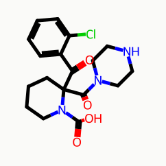 O=C(O)N1CCCCC1(C(=O)c1ccccc1Cl)C(=O)N1CCNCC1